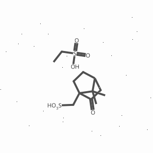 CC1(C)C2CCC1(CS(=O)(=O)O)C(=O)C2.CCS(=O)(=O)O